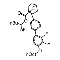 CCCCCCCCOc1ccc(-c2ccc(C3CC4CCC3(C(=O)OC(CCC)CCCC)CC4)cc2)c(F)c1F